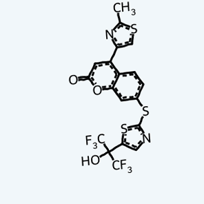 Cc1nc(-c2cc(=O)oc3cc(Sc4ncc(C(O)(C(F)(F)F)C(F)(F)F)s4)ccc23)cs1